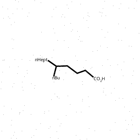 CCCCCCCC(CCCC)CCCC(=O)O